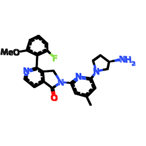 COc1cccc(F)c1-c1nccc2c1CN(c1cc(C)cc(N3CC[C@@H](N)C3)n1)C2=O